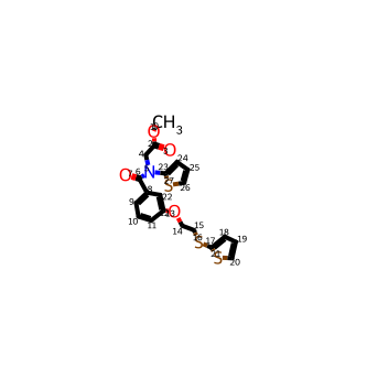 COC(=O)CN(C(=O)c1cccc(OCCSc2cccs2)c1)c1cccs1